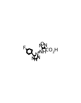 O=C(O)c1nonc1NCn1nnnc1-c1ccc(F)cc1